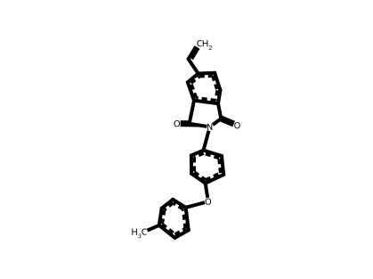 C=Cc1ccc2c(c1)C(=O)N(c1ccc(Oc3ccc(C)cc3)cc1)C2=O